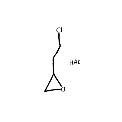 ClCCC1CO1.[AtH]